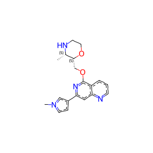 C[C@@H]1NCCO[C@@H]1COc1nc(-c2ccn(C)c2)cc2ncccc12